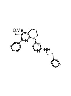 COCc1cc2c(nc1-c1ccccc1)N(c1ccnc(NCCc3ccccc3)n1)CCC2